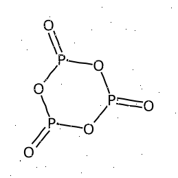 O=[P]1O[P](=O)O[P](=O)O1